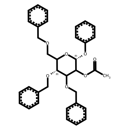 CC(=O)OC1C(OCc2ccccc2)[C@H](OCc2ccccc2)C(COCc2ccccc2)O[C@@H]1Oc1ccccc1